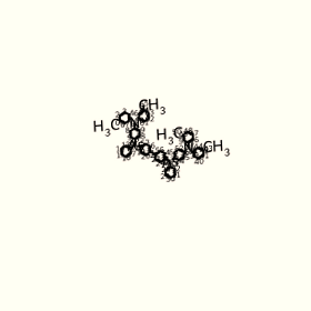 Cc1cccc(N(c2ccc([As](c3ccccc3)c3ccc(-c4ccc([As](c5ccccc5)c5ccc(N(c6cccc(C)c6)c6cccc(C)c6)cc5)cc4)cc3)cc2)c2cccc(C)c2)c1